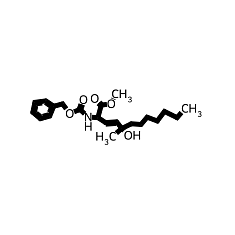 CCCCCCCC(C)(O)/C=C/C(NC(=O)OCc1ccccc1)C(=O)OC